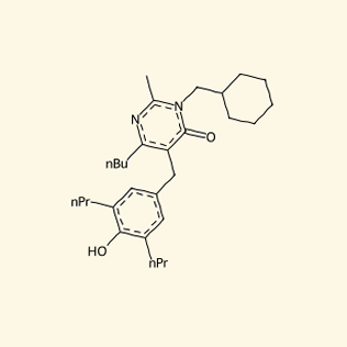 CCCCc1nc(C)n(CC2CCCCC2)c(=O)c1Cc1cc(CCC)c(O)c(CCC)c1